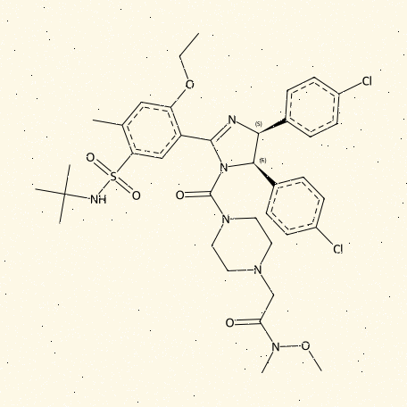 CCOc1cc(C)c(S(=O)(=O)NC(C)(C)C)cc1C1=N[C@@H](c2ccc(Cl)cc2)[C@@H](c2ccc(Cl)cc2)N1C(=O)N1CCN(CC(=O)N(C)OC)CC1